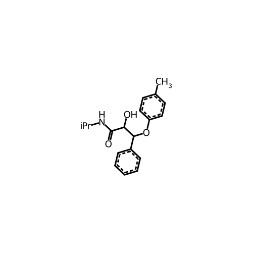 Cc1ccc(OC(c2ccccc2)C(O)C(=O)NC(C)C)cc1